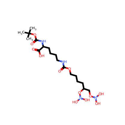 CC(C)(C)OC(=O)NC(CCCCNC(=O)OCCCCC(CON(O)O)ON(O)O)C(=O)O